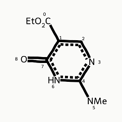 CCOC(=O)c1cnc(NC)[nH]c1=O